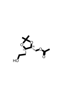 CC(=O)OC[C@H]1OC(C)(C)O[C@H]1CCO